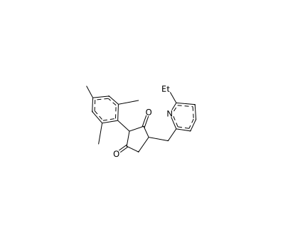 CCc1cccc(CC2CC(=O)C(c3c(C)cc(C)cc3C)C2=O)n1